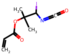 C=CC(=O)OC(C)(C)C(I)N=C=O